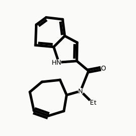 CCN(C(=O)c1cc2ccccc2[nH]1)C1CC#CCCC1